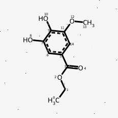 CCOC(=O)c1cc(O)c(O)c(OC)c1